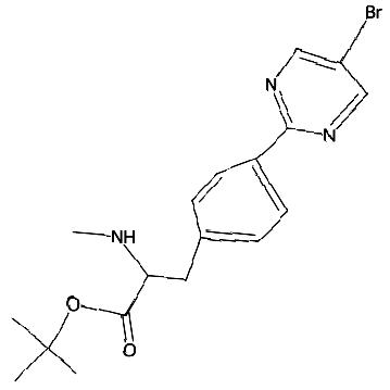 CNC(Cc1ccc(-c2ncc(Br)cn2)cc1)C(=O)OC(C)(C)C